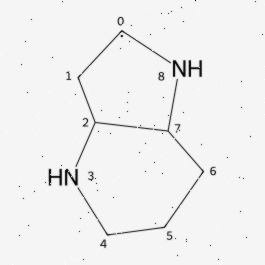 [CH]1CC2NCCCC2N1